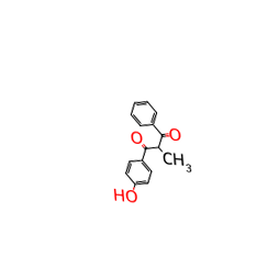 CC(C(=O)c1ccccc1)C(=O)c1ccc(O)cc1